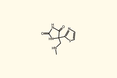 CNCC1(c2nccs2)NC(=O)NC1=O